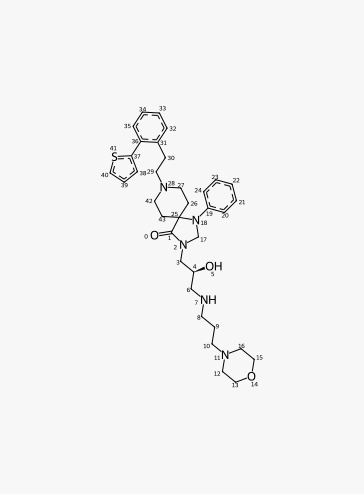 O=C1N(C[C@@H](O)CNCCCN2CCOCC2)CN(c2ccccc2)C12CCN(CCc1ccccc1-c1cccs1)CC2